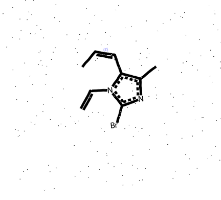 C=Cn1c(Br)nc(C)c1/C=C\C